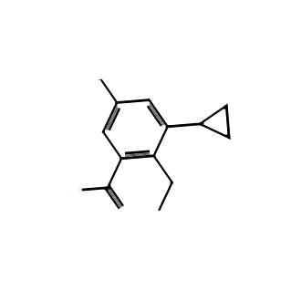 CCc1c(C(=O)O)cc(I)cc1C1CC1